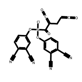 N#Cc1ccc(O[Si](Cl)(Oc2ccc(C#N)c(C#N)c2)C(=O)C(=C=O)CC=C=O)cc1C#N